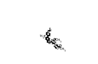 COc1nc(N2CCOC(C(C)=O)C2)cc(-n2ncc3cc(C)c(C4CCN(CCF)CC4)cc32)n1